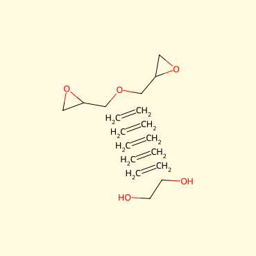 C(OCC1CO1)C1CO1.C=C.C=C.C=C.C=C.C=C.OCCO